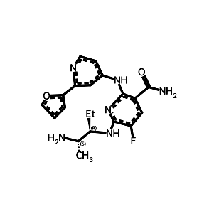 CC[C@@H](Nc1nc(Nc2ccnc(-c3ccco3)c2)c(C(N)=O)cc1F)[C@H](C)N